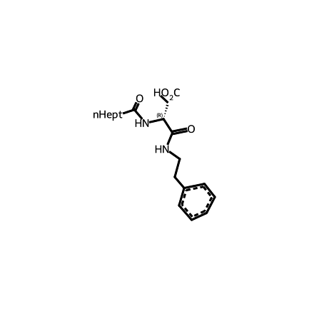 CCCCCCCC(=O)N[C@H](CC(=O)O)C(=O)NCCc1ccccc1